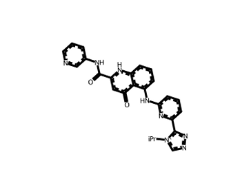 CC(C)n1cnnc1-c1cccc(Nc2cccc3[nH]c(C(=O)Nc4cccnc4)cc(=O)c23)n1